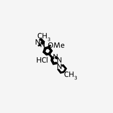 COc1cc(-c2ccc(N3CCC(C)CC3)nn2)ccc1-n1cnc(C)c1.Cl